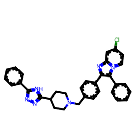 Clc1ccn2c(-c3ccccc3)c(-c3ccc(CN4CCC(c5nnc(-c6ccccc6)[nH]5)CC4)cc3)nc2c1